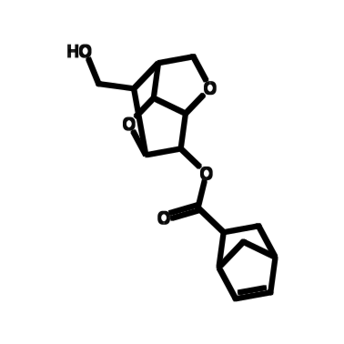 O=C(OC1C2OC3C(COC31)C2CO)C1CC2C=CC1C2